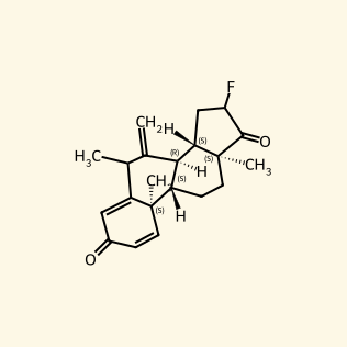 C=C1C(C)C2=CC(=O)C=C[C@]2(C)[C@H]2CC[C@]3(C)C(=O)C(F)C[C@H]3[C@H]12